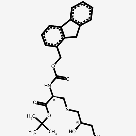 CC(C)(C)OC(=O)[C@H](CSC[C@H](O)CO)NC(=O)OCc1cccc2c1Cc1ccccc1-2